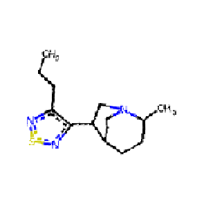 CCCc1nsnc1C1CN2CC1CCC2C